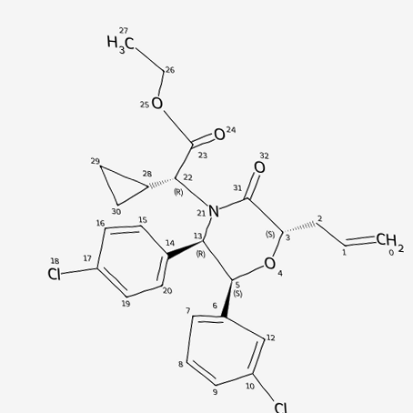 C=CC[C@@H]1O[C@@H](c2cccc(Cl)c2)[C@@H](c2ccc(Cl)cc2)N([C@@H](C(=O)OCC)C2CC2)C1=O